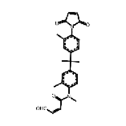 Cc1cc(C(C)(C)c2ccc(N3C(=O)C=CC3=O)c(C)c2)ccc1N(C)C(=O)/C=C\C=O